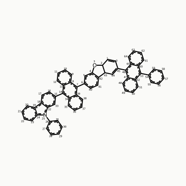 C1=CC2Oc3cc(-c4c5ccccc5c(-c5ccc6c7ccccc7n(-c7ccccc7)c6c5)c5ccccc45)ccc3C2C=C1c1c2ccccc2c(-c2ccccc2)c2ccccc12